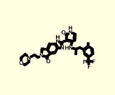 Cc1ccc(C(F)(F)F)cc1CC(C)Nc1cc[nH]c(=O)c1-c1nc2cc3c(cc2[nH]1)CN(CCN1CCOCC1)C3=O